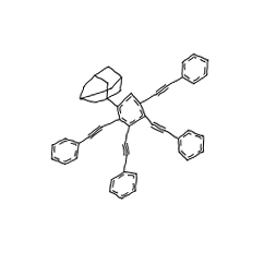 C(#Cc1cc(C23CC4CC(CC(C4)C2)C3)c(C#Cc2ccccc2)c(C#Cc2ccccc2)c1C#Cc1ccccc1)c1ccccc1